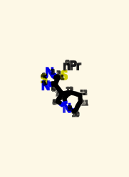 CCCSc1nsnc1C1CN2CCCC1C2